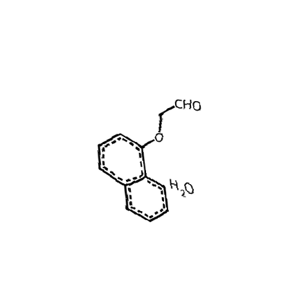 O.O=CCOc1cccc2ccccc12